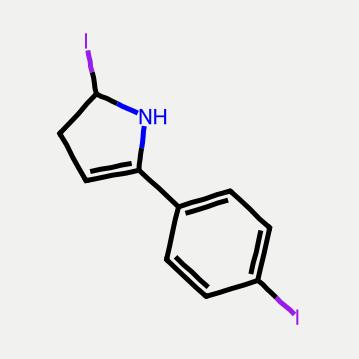 Ic1ccc(C2=CCC(I)N2)cc1